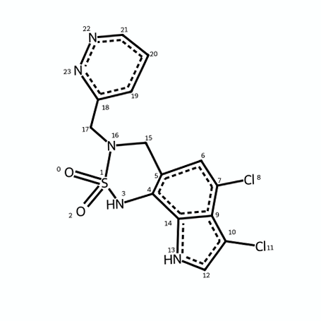 O=S1(=O)Nc2c(cc(Cl)c3c(Cl)c[nH]c23)CN1Cc1cccnn1